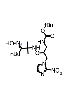 CCCC/C(=N\O)C(C)(C)NOC(CNC(=O)OC(C)(C)C)Cn1ccnc1[N+](=O)[O-]